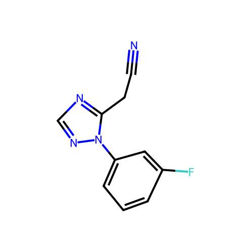 N#CCc1ncnn1-c1cccc(F)c1